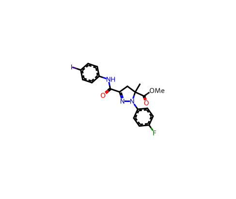 COC(=O)C1(C)CC(C(=O)Nc2ccc(I)cc2)=NN1c1ccc(F)cc1